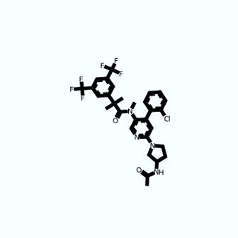 CC(=O)NC1CCN(c2cc(-c3ccccc3Cl)c(N(C)C(=O)C(C)(C)c3cc(C(F)(F)F)cc(C(F)(F)F)c3)cn2)C1